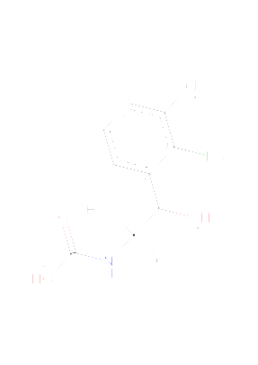 CC(C)(NC(=O)O)C(O)c1cccc(Cl)c1F